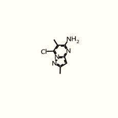 Cc1cc2nc(N)c(C)c(Cl)n2n1